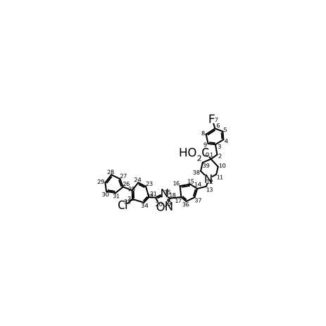 O=C(O)C1(Cc2ccc(F)cc2)CCN(Cc2ccc(-c3noc(-c4ccc(-c5ccccc5)c(Cl)c4)n3)cc2)CC1